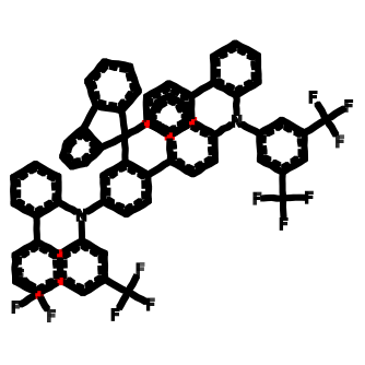 FC(F)(F)c1cc(N(c2ccc3c(c2)C2(c4ccccc4-c4ccccc42)c2cccc4c(N(c5cc(C(F)(F)F)cc(C(F)(F)F)c5)c5ccccc5-c5ccccc5)ccc-3c24)c2ccccc2-c2ccccc2)cc(C(F)(F)F)c1